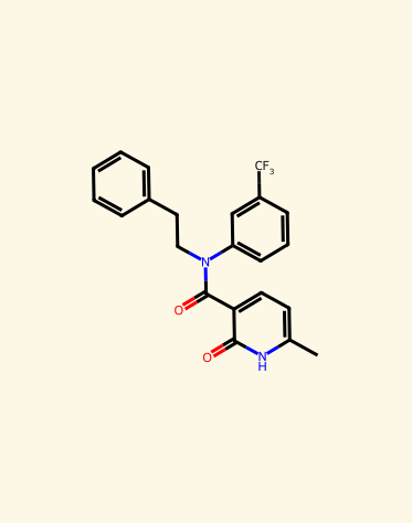 Cc1ccc(C(=O)N(CCc2ccccc2)c2cccc(C(F)(F)F)c2)c(=O)[nH]1